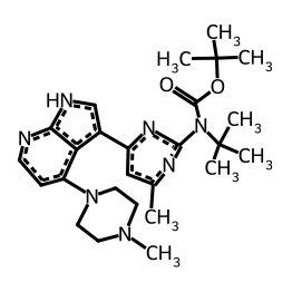 Cc1cc(-c2c[nH]c3nccc(N4CCN(C)CC4)c23)nc(N(C(=O)OC(C)(C)C)C(C)(C)C)n1